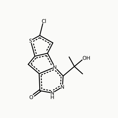 CC(C)(O)c1n[nH]c(=O)c2cc3sc(Cl)cc3n12